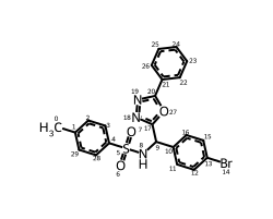 Cc1ccc(S(=O)(=O)NC(c2ccc(Br)cc2)c2nnc(-c3ccccc3)o2)cc1